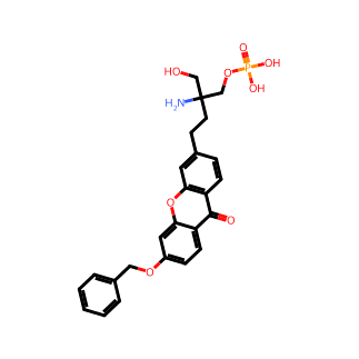 NC(CO)(CCc1ccc2c(=O)c3ccc(OCc4ccccc4)cc3oc2c1)COP(=O)(O)O